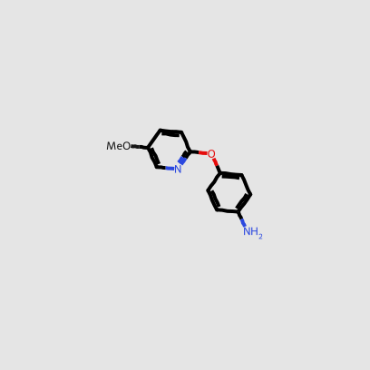 COc1ccc(Oc2ccc(N)cc2)nc1